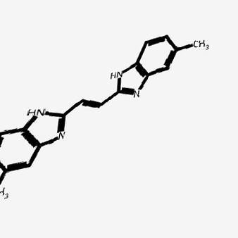 Cc1ccc2[nH]c(C=Cc3nc4cc(C)ccc4[nH]3)nc2c1